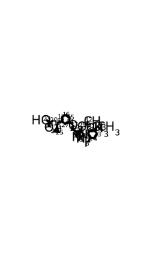 COc1ccc(F)c(-n2nnc(COc3cccc([C@@H](CC(=O)O)C4CC4)c3)c2OC(C)C)c1